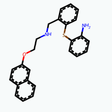 Nc1ccccc1Sc1ccccc1CNCCOc1ccc2ccccc2c1